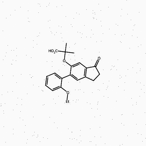 CCOc1ccccc1-c1cc2c(cc1OC(C)(C)C(=O)O)C(=O)CC2